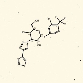 OC[C@H]1O[C@H](Sc2cnc(C(F)(F)F)c(Br)c2)[C@H](O)[C@@H](n2cc(-c3cscn3)nn2)[C@H]1O